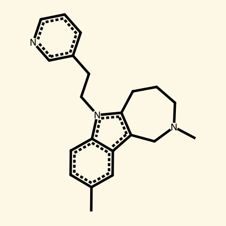 Cc1ccc2c(c1)c1c(n2CCc2cccnc2)CCCN(C)C1